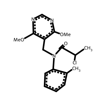 COc1ncnc(OC)c1CN(C(=O)C(C)Cl)c1ccccc1C